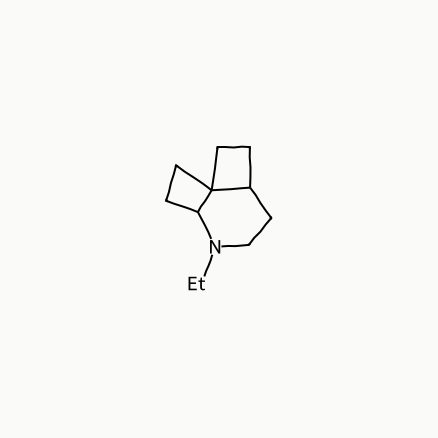 CCN1CCC2CCC23CCC13